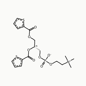 C[N+](C)(C)CCOP(=O)([O-])OC[C@@H](COC(=O)c1cccs1)OC(=O)c1cccs1